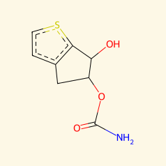 NC(=O)OC1Cc2ccsc2C1O